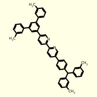 Cc1cccc(-c2cc(-c3ccc(-c4ccc(-c5ccc(C(c6cccc(C)c6)c6cccc(C)c6)cc5)cn4)nc3)cc(-c3cccc(C)c3)c2)c1